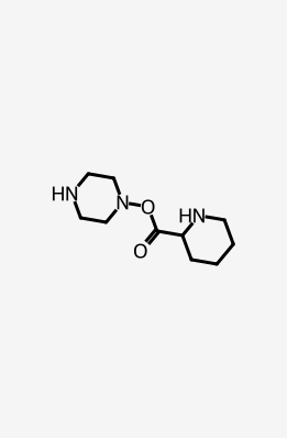 O=C(ON1CCNCC1)C1CCCCN1